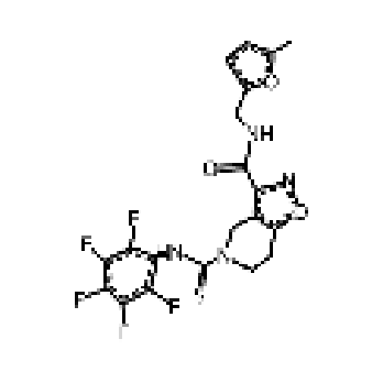 Cc1ccc(CNC(=O)c2noc3c2CN(C(=S)Nc2c(F)c(F)c(F)c(F)c2F)CC3)o1